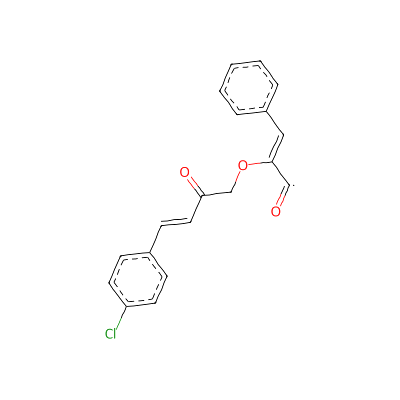 O=[C]C(=Cc1ccccc1)OCC(=O)C=Cc1ccc(Cl)cc1